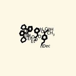 CCCCCCCCCCCCc1ccc(C(=O)C(C)(C)O)cc1.CCOC(OCC)C(=O)c1ccccc1.O=C(c1ccccc1C1(O)CCCCC1)c1ccccc1C1(O)CCCCC1